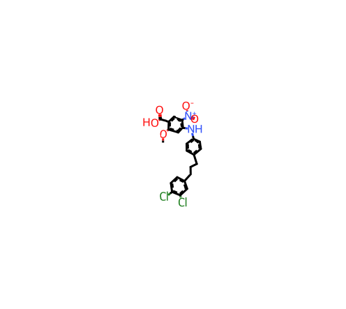 COc1cc(Nc2ccc(CCCc3ccc(Cl)c(Cl)c3)cc2)c([N+](=O)[O-])cc1C(=O)O